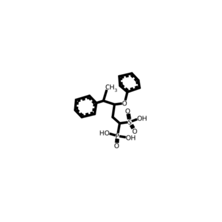 CC(c1ccccc1)C(CC(P(=O)(O)O)S(=O)(=O)O)Oc1ccccc1